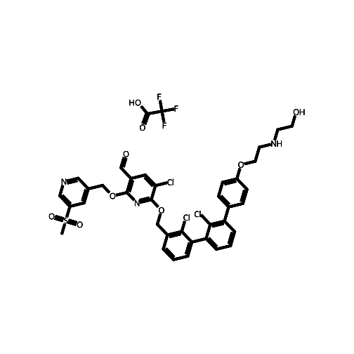 CS(=O)(=O)c1cncc(COc2nc(OCc3cccc(-c4cccc(-c5ccc(OCCNCCO)cc5)c4Cl)c3Cl)c(Cl)cc2C=O)c1.O=C(O)C(F)(F)F